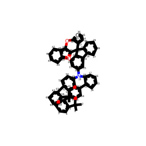 CC1(C)c2ccccc2-c2ccc(-c3ccccc3N(c3ccc4c(c3)-c3ccccc3C43c4ccccc4Oc4c3oc3ccccc43)c3ccc4c(c3)C(C)(C)c3ccccc3-4)cc21